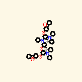 c1ccc(N2c3ccccc3B3c4cc5c(cc4Oc4cc(Oc6ccc7c(c6)oc6ccccc67)cc2c43)N(c2ccccc2)c2cc(Oc3ccc4c(c3)oc3ccccc34)cc3c2B5c2ccccc2N3c2ccccc2)cc1